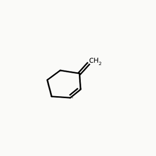 C=C1C=[C]CCC1